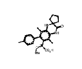 Cc1ccc(-c2c(C)c3c(c(C)c2[C@H](OC(C)(C)C)C(=O)O)NC(=O)C2(CCCC2)N3)cc1